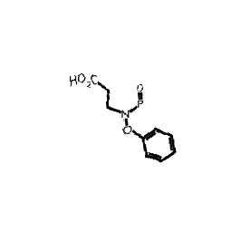 O=PN(CCC(=O)O)Oc1ccccc1